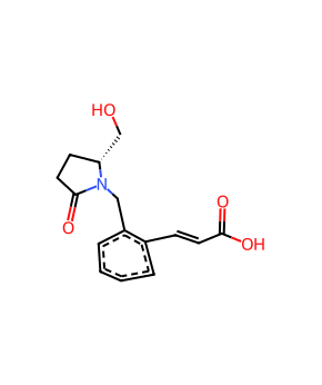 O=C(O)/C=C/c1ccccc1CN1C(=O)CC[C@@H]1CO